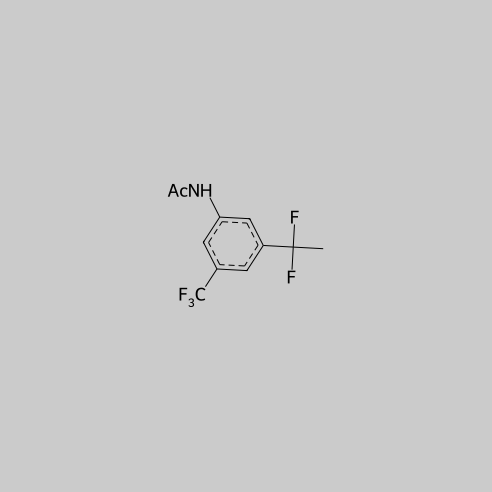 CC(=O)Nc1cc(C(C)(F)F)cc(C(F)(F)F)c1